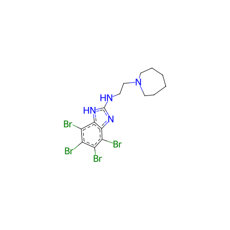 Brc1c(Br)c(Br)c2[nH]c(NCCN3CCCCCC3)nc2c1Br